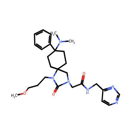 COCCCN1C(=O)N(CC(=O)NCc2ccncn2)CC12CCC(c1ccccc1)(N(C)C)CC2